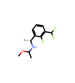 COC(C)N[C@H](C)c1cccc(C(F)F)c1F